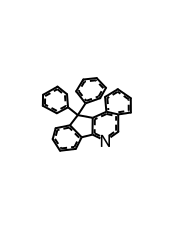 c1ccc(C2(c3ccccc3)c3ccccc3-c3ncc4ccccc4c32)cc1